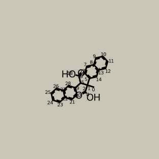 CC(C(=O)O)(c1ccc2ccccc2c1)C(C(=O)O)c1ccc2ccccc2c1